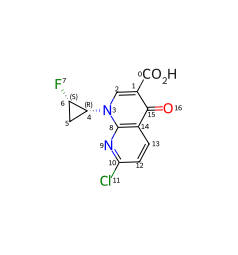 O=C(O)c1cn([C@@H]2C[C@@H]2F)c2nc(Cl)ccc2c1=O